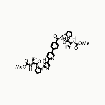 COC(=O)N[C@H](C(=O)N1CCC[C@H]1CNC(=O)c1ccc(-c2ccc(-c3cnc([C@@H]4CCCN4C(=O)[C@@H](NC(=O)OC)C(C)C)[nH]3)nc2)cc1)C(C)C